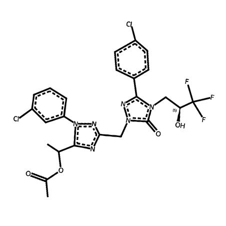 CC(=O)OC(C)c1nc(Cn2nc(-c3ccc(Cl)cc3)n(C[C@H](O)C(F)(F)F)c2=O)nn1-c1cccc(Cl)c1